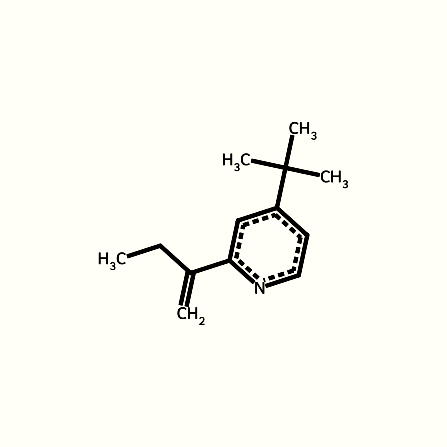 C=C(CC)c1cc(C(C)(C)C)ccn1